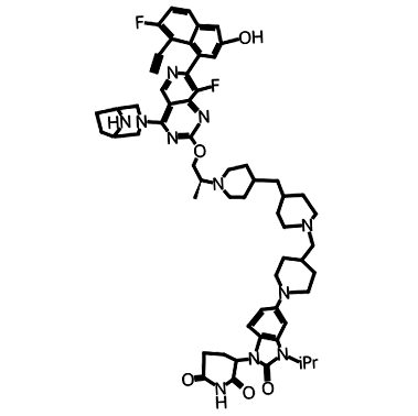 C#Cc1c(F)ccc2cc(O)cc(-c3ncc4c(N5CC6CCC(C5)N6)nc(OC[C@H](C)N5CCC(CC6CCN(CC7CCN(c8ccc9c(c8)n(C(C)C)c(=O)n9C8CCC(=O)NC8=O)CC7)CC6)CC5)nc4c3F)c12